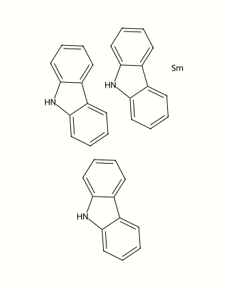 [Sm].c1ccc2c(c1)[nH]c1ccccc12.c1ccc2c(c1)[nH]c1ccccc12.c1ccc2c(c1)[nH]c1ccccc12